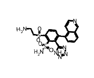 NCCS(=O)(=O)c1ccc(-c2cccc3cnccc23)c(-c2nnn[nH]2)c1S(N)(=O)=O